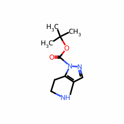 CC(C)(C)OC(=O)n1ncc2c1CCNC2